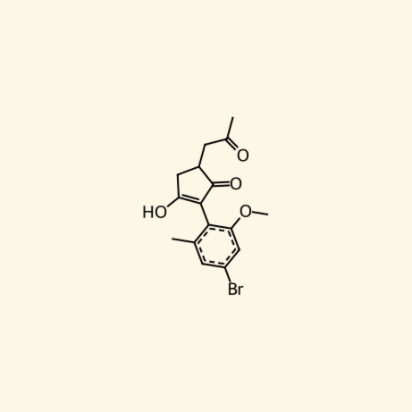 COc1cc(Br)cc(C)c1C1=C(O)CC(CC(C)=O)C1=O